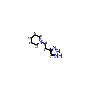 c1[nH]nnc1CCN1CCCCC1